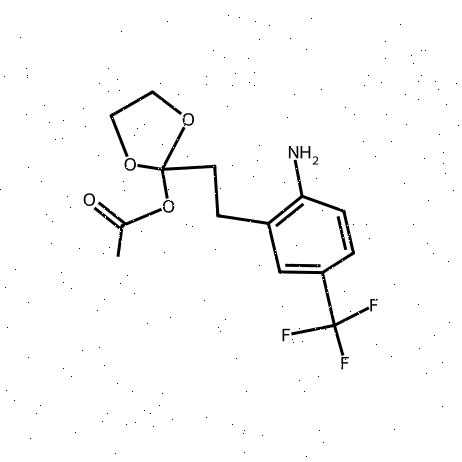 CC(=O)OC1(CCc2cc(C(F)(F)F)ccc2N)OCCO1